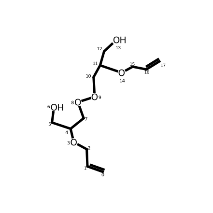 C=CCOC(CO)COOCC(CO)OCC=C